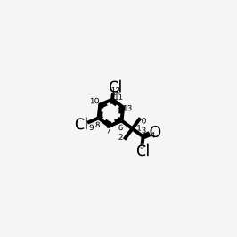 CC(C)(C(=O)Cl)c1cc(Cl)cc(Cl)c1